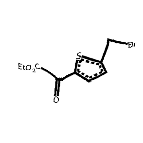 CCOC(=O)C(=O)c1ccc(CBr)s1